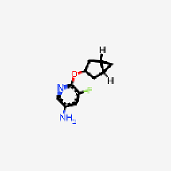 Nc1cnc(OC2C[C@@H]3C[C@@H]3C2)c(F)c1